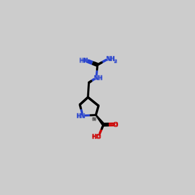 N=C(N)NCC1CN[C@H](C(=O)O)C1